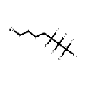 OCCCCC(F)(F)C(F)(F)C(F)(F)F